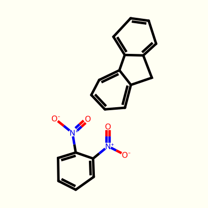 O=[N+]([O-])c1ccccc1[N+](=O)[O-].c1ccc2c(c1)Cc1ccccc1-2